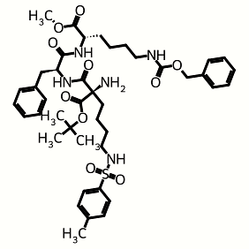 COC(=O)[C@H](CCCCNC(=O)OCc1ccccc1)NC(=O)[C@H](Cc1ccccc1)NC(=O)[C@](N)(CCCCNS(=O)(=O)c1ccc(C)cc1)C(=O)OC(C)(C)C